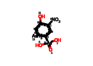 O=[N+]([O-])c1cc([As](=O)(O)O)ccc1O.[AsH3]